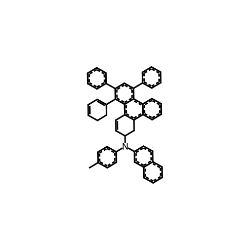 Cc1ccc(N(c2ccc3ccccc3c2)C2C=Cc3c(c4ccccc4c4c(-c5ccccc5)cc(-c5ccccc5)c(C5=CC=CCC5)c34)C2)cc1